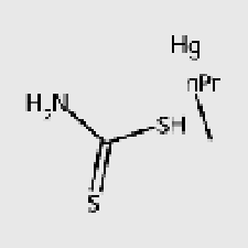 CCCC.NC(=S)S.[Hg]